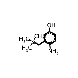 C[Si](C)(C)Cc1cc(O)ccc1N